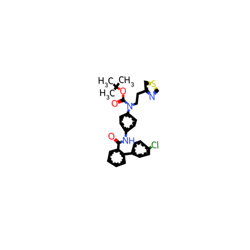 CC(C)(C)OC(=O)N(CCc1cscn1)c1ccc(NC(=O)c2ccccc2-c2ccc(Cl)cc2)cc1